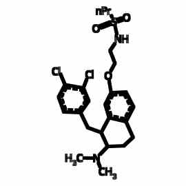 CCCS(=O)(=O)NCCOc1ccc2c(c1)C(Cc1ccc(Cl)c(Cl)c1)C(N(C)C)CC2